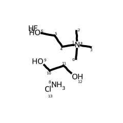 C[N+](C)(C)CCO.F.N.OCCO.[Cl-]